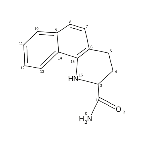 NC(=O)C1CCc2ccc3ccccc3c2N1